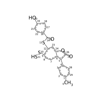 Cc1ccc(-c2c3ccc(SS)c(SC(=O)c4ccc(O)cc4)cc-3oc2=O)cc1